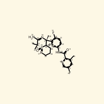 Cc1cc(F)cnc1C(=O)Nc1ccc(F)c([C@@]2(C)N=C(N)C(C)(C)[S@@]3(=O)=NCCC[C@H]23)n1